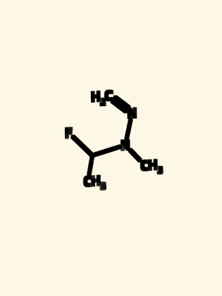 C=NN(C)C(C)F